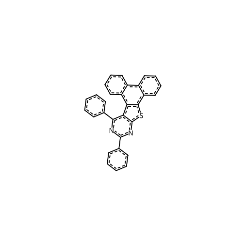 c1ccc(-c2nc(-c3ccccc3)c3c(n2)sc2c4ccccc4c4ccccc4c23)cc1